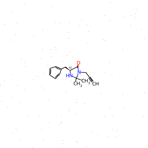 C#CCN1C(=O)[C@H](Cc2ccccc2)NC1(C)C